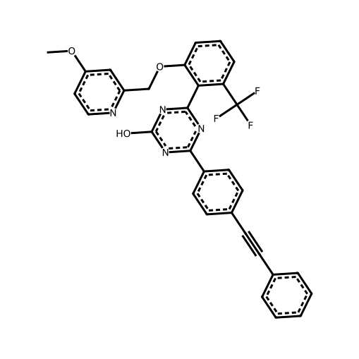 COc1ccnc(COc2cccc(C(F)(F)F)c2-c2nc(O)nc(-c3ccc(C#Cc4ccccc4)cc3)n2)c1